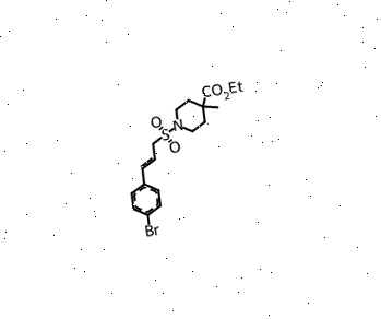 CCOC(=O)C1(C)CCN(S(=O)(=O)CC=Cc2ccc(Br)cc2)CC1